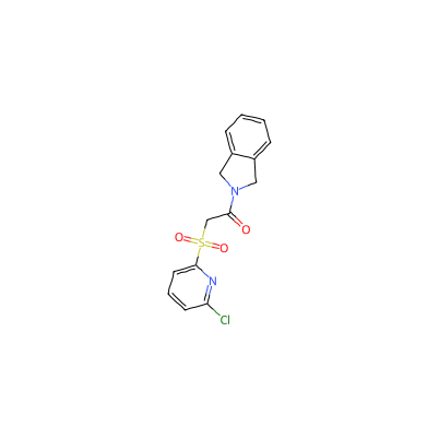 O=C(CS(=O)(=O)c1cccc(Cl)n1)N1Cc2ccccc2C1